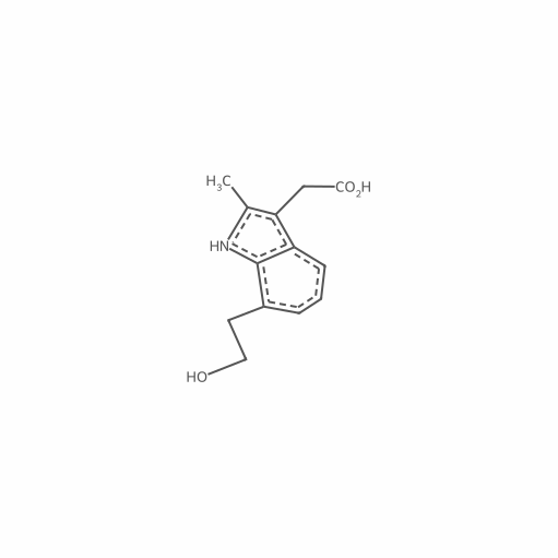 Cc1[nH]c2c(CCO)cccc2c1CC(=O)O